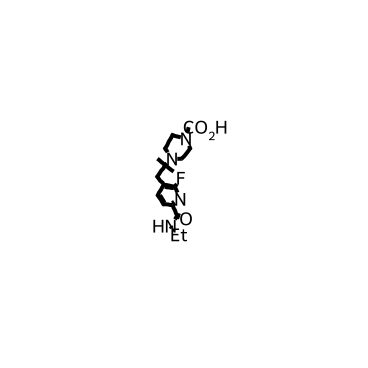 CCNC(=O)c1ccc(CC(C)(C)N2CCN(C(=O)O)CC2)c(F)n1